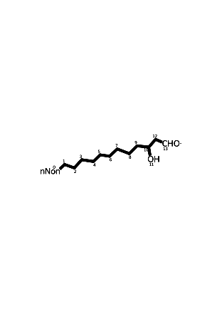 CCCCCCCCCCCCCCCCCCC(O)C[C]=O